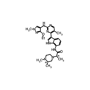 CCOc1nn(C)cc1Nc1ncc(C)c(-c2c[nH]c3c(NC(=O)[C@@H](C)N4CCN(C)[C@H](C)C4)cccc23)n1